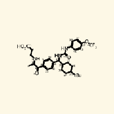 CC(NCCC(=O)O)C(=O)c1ccc(C(NC(=O)Nc2ccc(OC(F)(F)F)cc2)C2CCC(C(C)(C)C)CC2)cc1